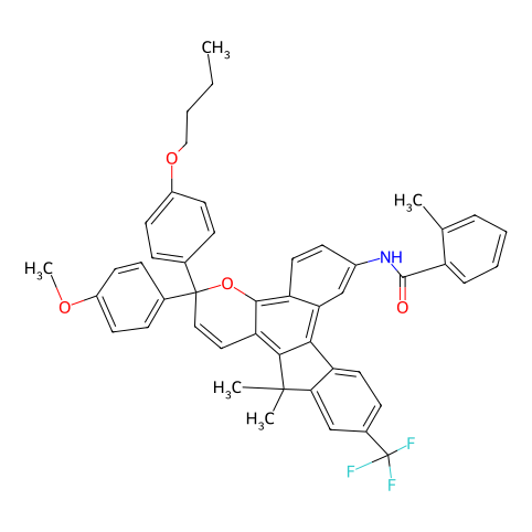 CCCCOc1ccc(C2(c3ccc(OC)cc3)C=Cc3c4c(c5cc(NC(=O)c6ccccc6C)ccc5c3O2)-c2ccc(C(F)(F)F)cc2C4(C)C)cc1